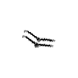 CC(C)CCCCCCCCCCOP([O-])(=S)SCCCCCCCCCCC(C)C.CC(C)CCCCCCCCCCOP([O-])(=S)SCCCCCCCCCCC(C)C.[Zn+2]